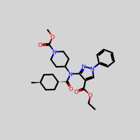 CCOC(=O)c1cn(-c2ccccc2)nc1N(C(=O)[C@H]1CC[C@H](C)CC1)C1CCN(C(=O)OC)CC1